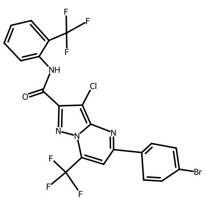 O=C(Nc1ccccc1C(F)(F)F)c1nn2c(C(F)(F)F)cc(-c3ccc(Br)cc3)nc2c1Cl